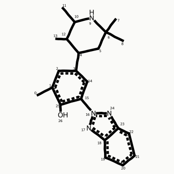 Cc1cc(C2CC(C)(C)NC(C)C2C)cc(-n2nc3ccccc3n2)c1O